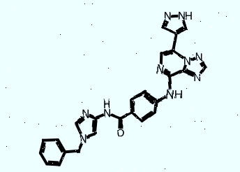 O=C(Nc1cn(Cc2ccccc2)cn1)c1ccc(Nc2ncc(-c3cn[nH]c3)n3ncnc23)cc1